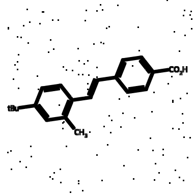 Cc1cc(C(C)(C)C)ccc1C=Cc1ccc(C(=O)O)cc1